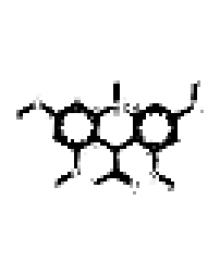 COc1cc(O)c(C(C(C)=O)c2c(OC)cc(OC)cc2OC)c(OC)c1